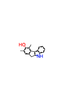 Cc1cc2c(c(C)c1O)-c1c([nH]c3ccccc13)C2